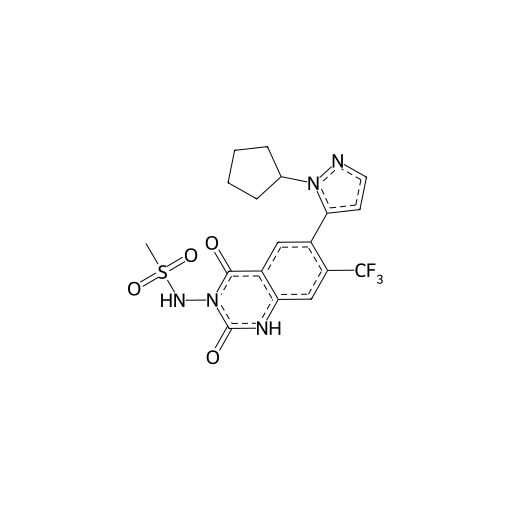 CS(=O)(=O)Nn1c(=O)[nH]c2cc(C(F)(F)F)c(-c3ccnn3C3CCCC3)cc2c1=O